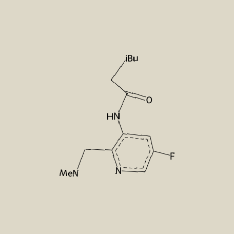 CCC(C)CC(=O)Nc1cc(F)cnc1CNC